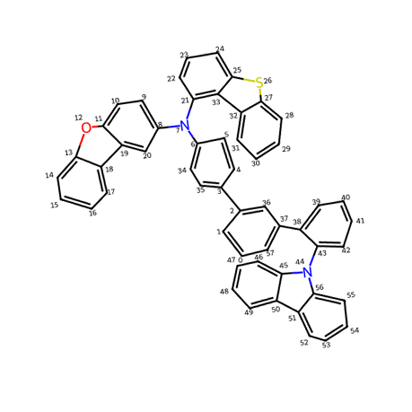 c1cc(-c2ccc(N(c3ccc4oc5ccccc5c4c3)c3cccc4sc5ccccc5c34)cc2)cc(-c2ccccc2-n2c3ccccc3c3ccccc32)c1